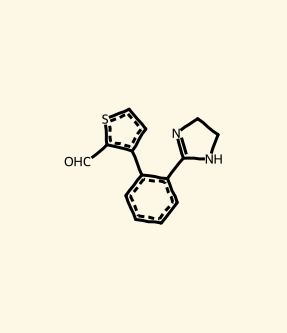 O=Cc1sccc1-c1ccccc1C1=NCCN1